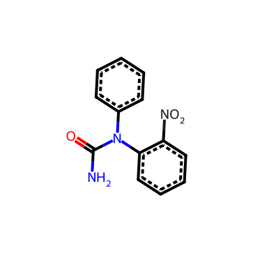 NC(=O)N(c1ccccc1)c1ccccc1[N+](=O)[O-]